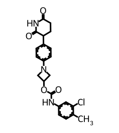 Cc1ccc(NC(=O)OC2CN(c3ccc(C4CCC(=O)NC4=O)cc3)C2)cc1Cl